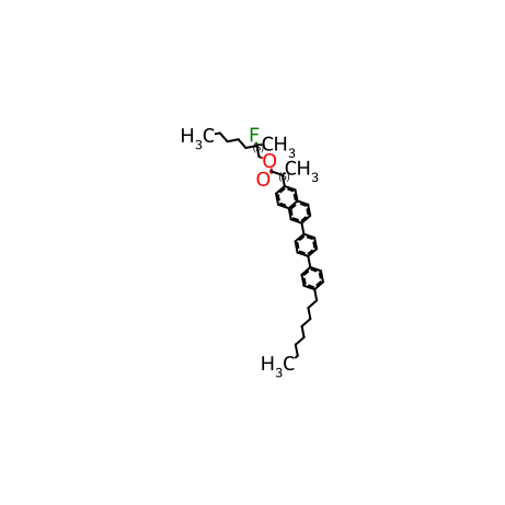 CCCCCCCCc1ccc(-c2ccc(-c3ccc4cc([C@H](C)C(=O)OC[C@@](C)(F)CCCCC)ccc4c3)cc2)cc1